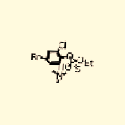 CCOP(O)(=S)Oc1ccc(Br)cc1Cl.CN(C)C